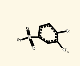 CC(C)S(=O)(=O)c1ccc(Br)c(C(F)(F)F)c1